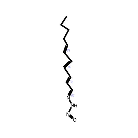 CCCC/C=C/C=C/C=C/C=N/NN=O